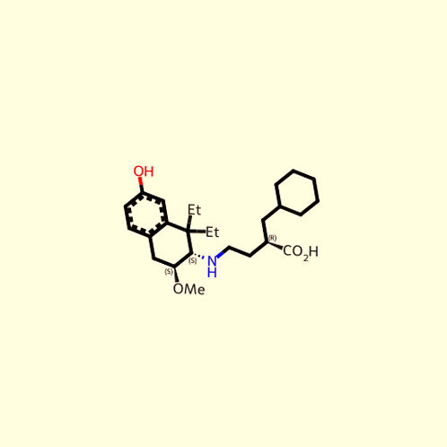 CCC1(CC)c2cc(O)ccc2C[C@H](OC)[C@H]1NCC[C@@H](CC1CCCCC1)C(=O)O